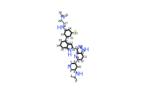 CC(C)Nc1cncc(-c2ccc3[nH]nc(-c4cc5c(-c6cc(F)cc(NCCN(C)C)c6)cccc5[nH]4)c3n2)c1